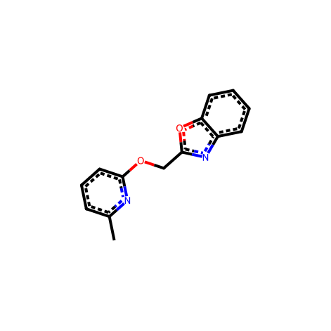 Cc1cccc(OCc2nc3ccccc3o2)n1